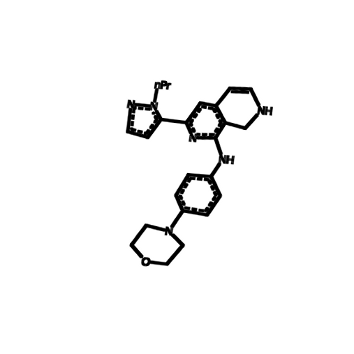 CCCn1nccc1-c1cc2c(c(Nc3ccc(N4CCOCC4)cc3)n1)CNC=C2